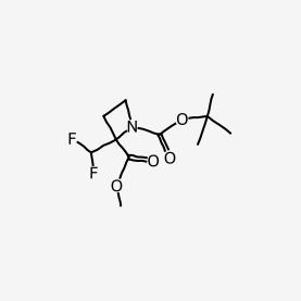 COC(=O)C1(C(F)F)CCN1C(=O)OC(C)(C)C